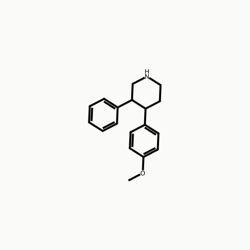 COc1ccc(C2CCNCC2c2ccccc2)cc1